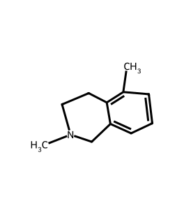 Cc1cccc2c1CCN(C)C2